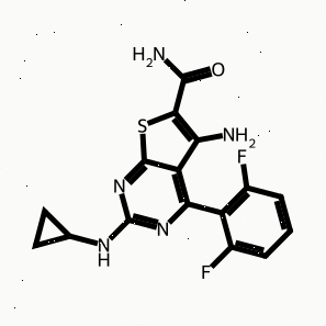 NC(=O)c1sc2nc(NC3CC3)nc(-c3c(F)cccc3F)c2c1N